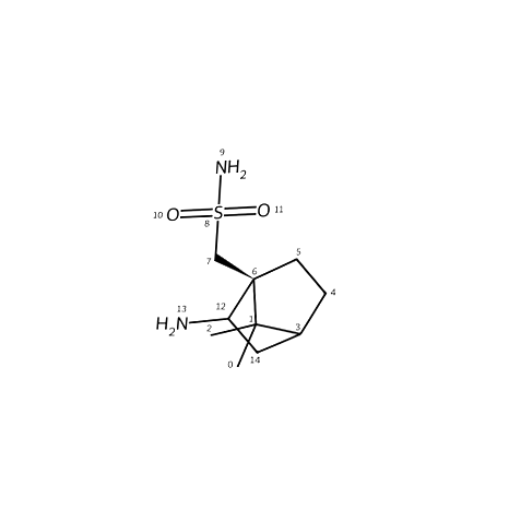 CC1(C)C2CC[C@@]1(CS(N)(=O)=O)C(N)C2